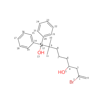 C=C(Br)CC(O)CCCC(C)(C)[Si](O)(c1ccccc1)c1ccccc1